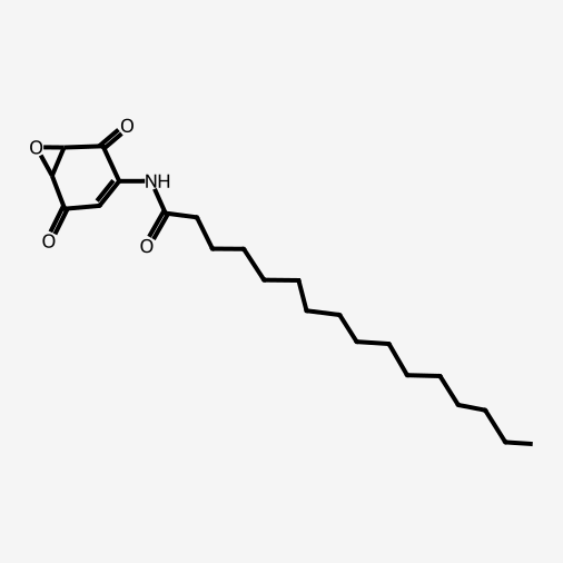 CCCCCCCCCCCCCCCC(=O)NC1=CC(=O)C2OC2C1=O